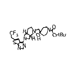 CC(C)(C)OC(=O)N1CCC(O)(CN2CC[C@@H]3CN(c4ncnc5sc(CC(F)(F)F)cc45)C[C@@H]3C2)CC1